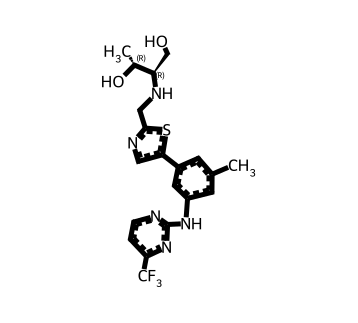 Cc1cc(Nc2nccc(C(F)(F)F)n2)cc(-c2cnc(CN[C@H](CO)[C@@H](C)O)s2)c1